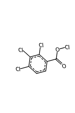 O=C(OCl)c1ccc(Cl)c(Cl)c1Cl